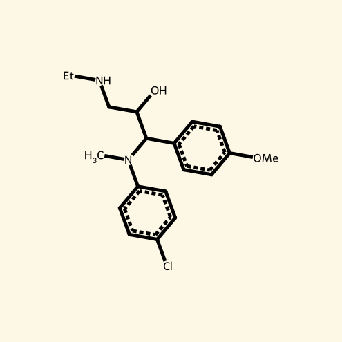 CCNCC(O)C(c1ccc(OC)cc1)N(C)c1ccc(Cl)cc1